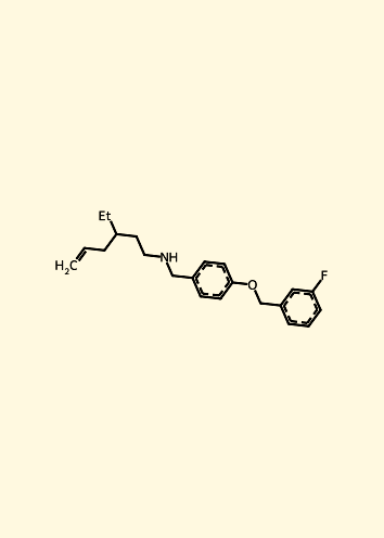 C=CCC(CC)CCNCc1ccc(OCc2cccc(F)c2)cc1